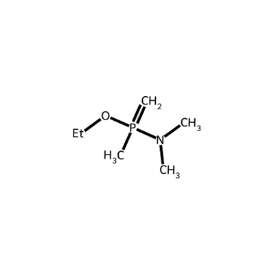 C=P(C)(OCC)N(C)C